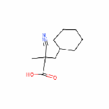 CC(C#N)(CC1CCCCC1)C(=O)O